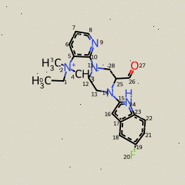 CC[N+](C)(C)c1cccnc1N1CCN(c2cc3cc(F)ccc3[nH]2)C(C=O)C1